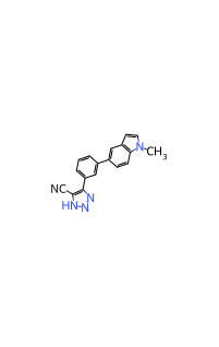 Cn1ccc2cc(-c3cccc(-c4nn[nH]c4C#N)c3)ccc21